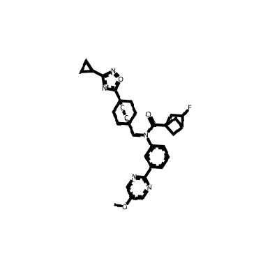 COc1cnc(-c2cccc(N(CC34CCC(c5nc(C6CC6)no5)(CC3)CC4)C(=O)C34CC(F)C(C3)C4)c2)nc1